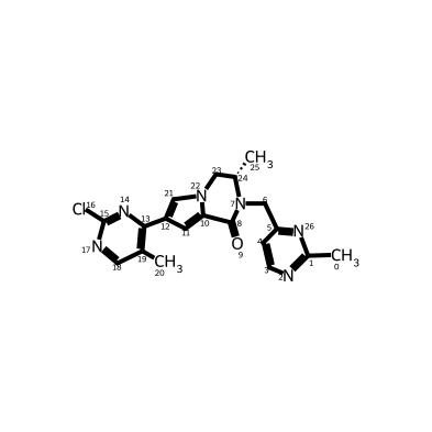 Cc1nccc(CN2C(=O)c3cc(-c4nc(Cl)ncc4C)cn3C[C@@H]2C)n1